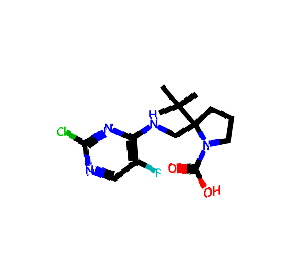 CC(C)(C)C1(CNc2nc(Cl)ncc2F)CCCN1C(=O)O